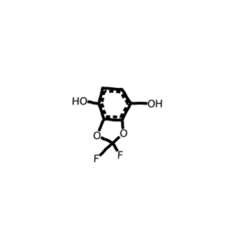 Oc1ccc(O)c2c1OC(F)(F)O2